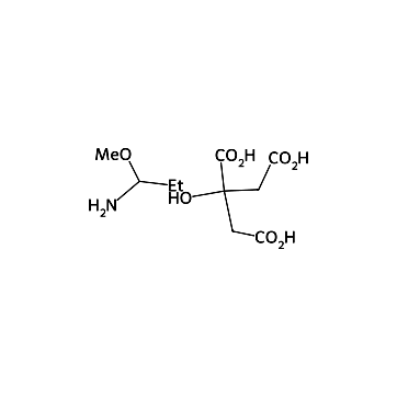 CCC(N)OC.O=C(O)CC(O)(CC(=O)O)C(=O)O